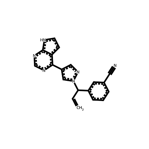 C=CC(c1cccc(C#N)c1)n1cc(-c2ncnc3[nH]ccc23)cn1